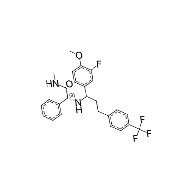 CNC(=O)[C@H](NC(CCc1ccc(C(F)(F)F)cc1)c1ccc(OC)c(F)c1)c1ccccc1